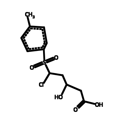 Cc1ccc(S(=O)(=O)C(Cl)CC(O)CC(=O)O)cc1